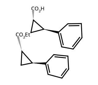 CCOC(=O)[C@H]1C[C@@H]1c1ccccc1.O=C(O)[C@H]1C[C@@H]1c1ccccc1